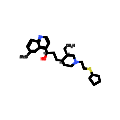 COc1ccc2nccc([C@H](O)CC[C@@H]3CCN(CCSC4CCCC4)C[C@@H]3CC(=O)O)c2c1